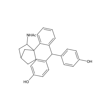 CC(=O)NC1CC2CCC1(c1ccccc1C(c1ccc(O)cc1)c1ccc(O)cc1)C2